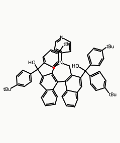 CC(C)(C)c1ccc(C(O)(c2ccc(C(C)(C)C)cc2)c2cc3ccccc3c3c2CN(c2ccncc2)Cc2c(C(O)(c4ccc(C(C)(C)C)cc4)c4ccc(C(C)(C)C)cc4)cc4ccccc4c2-3)cc1